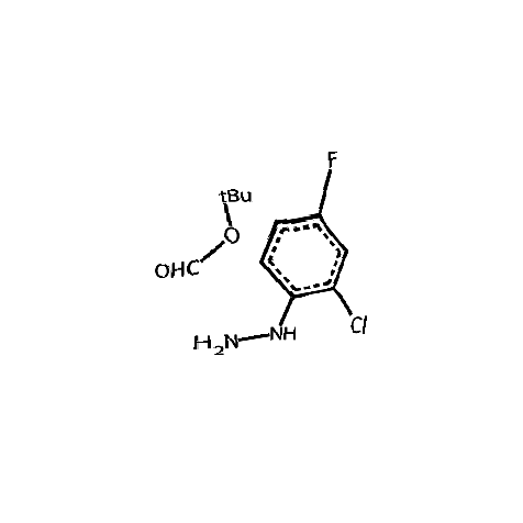 CC(C)(C)OC=O.NNc1ccc(F)cc1Cl